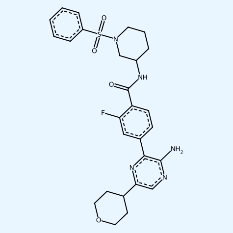 Nc1ncc(C2CCOCC2)nc1-c1ccc(C(=O)NC2CCCN(S(=O)(=O)c3ccccc3)C2)c(F)c1